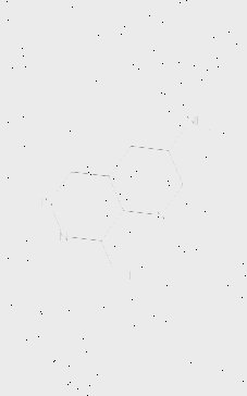 NC1CNC2C(CNNC2O)C1